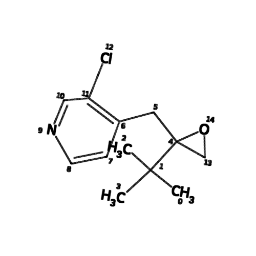 CC(C)(C)C1(Cc2ccncc2Cl)CO1